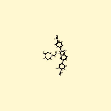 Cc1cc(-c2ccc3nc(-c4ccc(C#N)cc4)c(CCN4CCCN(C)CC4)n3c2)ccc1C#N